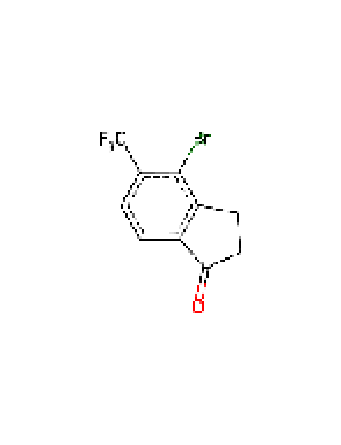 O=C1CCc2c1ccc(C(F)(F)F)c2Br